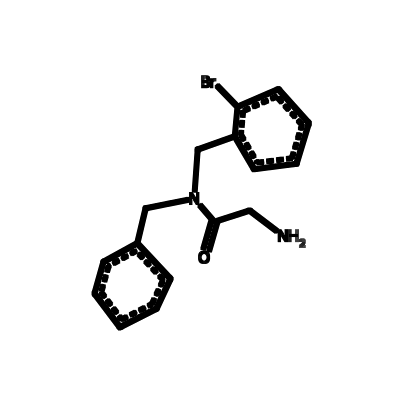 NCC(=O)N(Cc1ccccc1)Cc1ccccc1Br